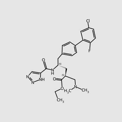 CCOC(=O)[C@@H](C[C@@H](Cc1ccc(-c2cc(Cl)ccc2F)cc1)NC(=O)c1cnn[nH]1)CN(C)C